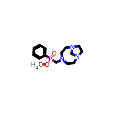 COP(=O)(CN1CCN2CCN(CC1)C2)c1ccccc1